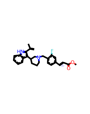 C=C(C)c1[nH]c2ccccc2c1C1CCCN(Cc2ccc(/C=C/C(=O)OC)cc2F)C1